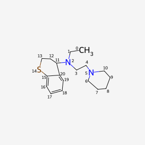 CCN(CCN1CCCCC1)C1CCSc2ccccc21